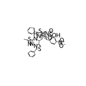 Cc1nnc(NC(C[C@@]2([C@H](Cc3ccc([N+](=O)[O-])cc3)NS(=O)(=O)O)N=C(c3ccccc3)SC2C)c2csc(-c3ccccc3)n2)s1